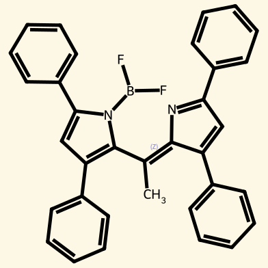 C/C(=C1/N=C(c2ccccc2)C=C1c1ccccc1)c1c(-c2ccccc2)cc(-c2ccccc2)n1B(F)F